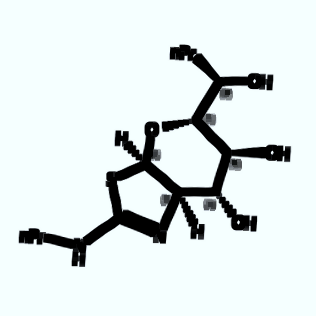 CCCNC1=N[C@@H]2[C@@H](O)[C@H](O)[C@@H]([C@H](O)CCC)O[C@@H]2S1